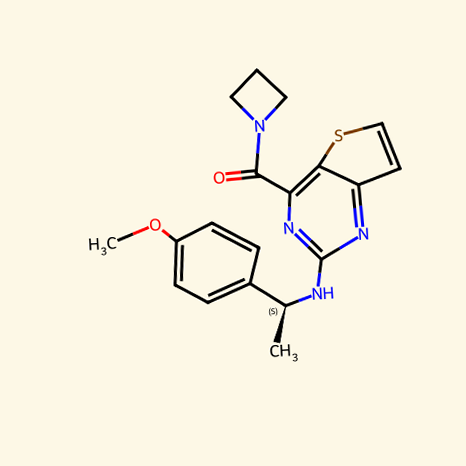 COc1ccc([C@H](C)Nc2nc(C(=O)N3CCC3)c3sccc3n2)cc1